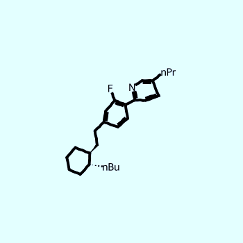 CCCC[C@@H]1CCCC[C@H]1CCc1ccc(-c2ccc(CCC)cn2)c(F)c1